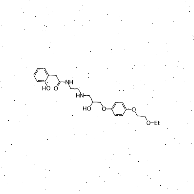 CCOCCOc1ccc(OCC(O)CNCCNC(=O)Cc2ccccc2O)cc1